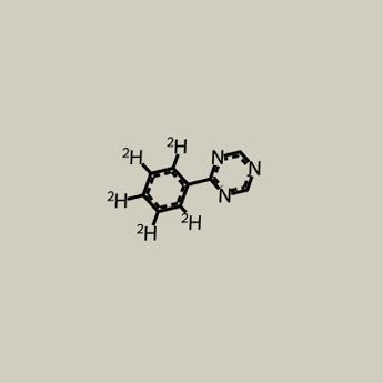 [2H]c1c([2H])c([2H])c(-c2ncncn2)c([2H])c1[2H]